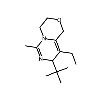 CCC1=C2COCCN2C(C)=NC1C(C)(C)C